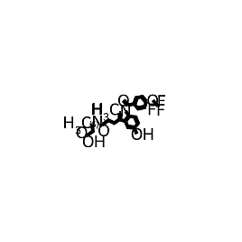 Cc1c(CCC(=O)N[C@@H](C)CC(=O)O)c2cc(O)ccc2n1C(=O)c1ccc(OC(F)(F)F)cc1